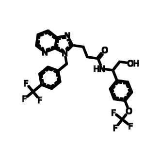 O=C(CCc1nc2cccnc2n1Cc1ccc(C(F)(F)F)cc1)NC(CO)c1ccc(OC(F)(F)F)cc1